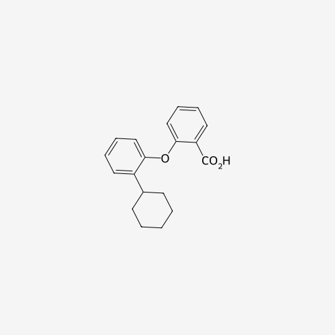 O=C(O)c1ccccc1Oc1ccccc1C1CCCCC1